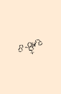 CC(C)(C)c1cc(C#Cc2cccc3ccccc23)c(O)c(C#Cc2cccc3ccccc23)c1